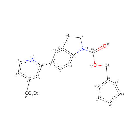 CCOC(=O)c1ccnc(-c2ccc3c(c2)CCN3C(=O)OCc2ccccc2)c1